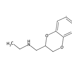 CCNCC1COc2cc[c]cc2O1